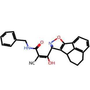 N#CC(C(=O)NCc1ccccc1)=C(O)c1noc2c1C1CCCc3cccc-2c31